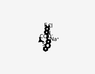 O=C([O-])CC1CC1CSC1c2ccccc2C=Cc2ccc(/C=C/c3ccc4cc(F)c(Cl)cc4n3)cc21.[Na+]